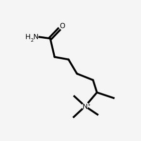 CC(CCCCC(N)=O)[N+](C)(C)C